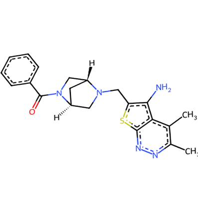 Cc1nnc2sc(CN3C[C@@H]4C[C@@H]3CN4C(=O)c3ccccc3)c(N)c2c1C